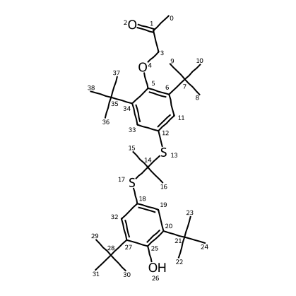 CC(=O)COc1c(C(C)(C)C)cc(SC(C)(C)Sc2cc(C(C)(C)C)c(O)c(C(C)(C)C)c2)cc1C(C)(C)C